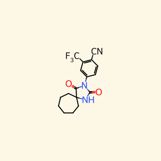 N#Cc1ccc(N2C(=O)NC3(CCCCCC3)C2=O)cc1C(F)(F)F